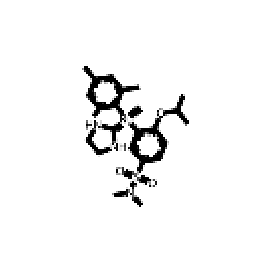 [CH2]=[Ru](=[C]1NCCN1)([c]1cc(S(=O)(=O)N(C)C)ccc1OC(C)C)[c]1c(C)cc(C)cc1C